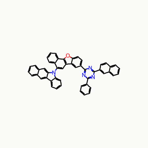 c1ccc(-c2nc(-c3ccc4ccccc4c3)nc(-c3ccc4oc5c6ccccc6c(-n6c7ccccc7c7cc8ccccc8cc76)cc5c4c3)n2)cc1